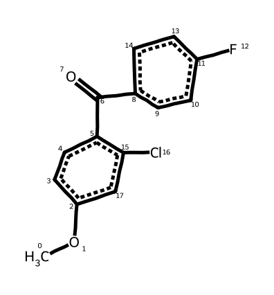 COc1ccc(C(=O)c2ccc(F)cc2)c(Cl)c1